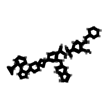 O=C(NS(=O)(=O)c1cc([N+](=O)[O-])c(NCC2CCOCC2)cn1)c1ccc(N2CC3(CCC(N4CCCC4c4ccccc4C4CC4)CC3)C2)cc1Oc1cnc2[nH]ccc2c1